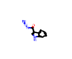 [N-]=[N+]=NC(=O)c1c[nH]c2ccccc12